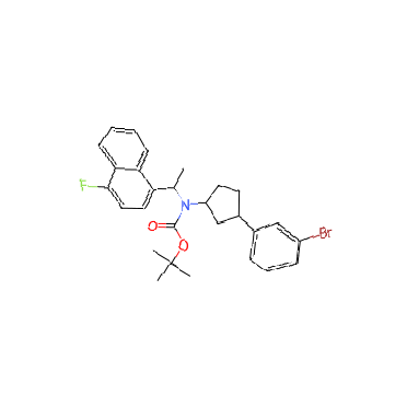 CC(c1ccc(F)c2ccccc12)N(C(=O)OC(C)(C)C)C1CCC(c2cccc(Br)c2)C1